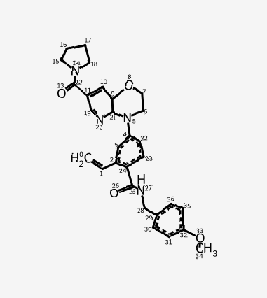 C=Cc1cc(N2CCOC3C=C(C(=O)N4CCCC4)C=NC32)ccc1C(=O)NCc1ccc(OC)cc1